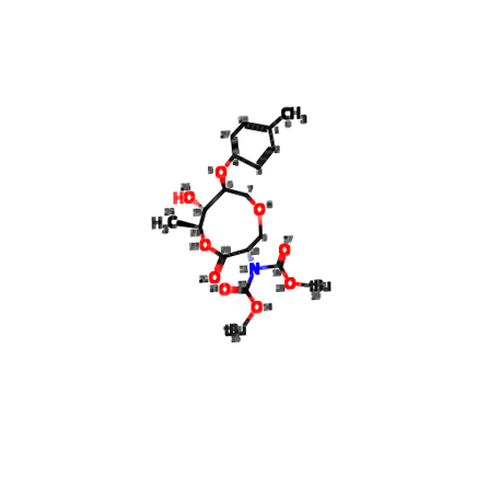 Cc1ccc(O[C@H]2COC[C@H](N(C(=O)OC(C)(C)C)C(=O)OC(C)(C)C)C(=O)O[C@@H](C)[C@@H]2O)cc1